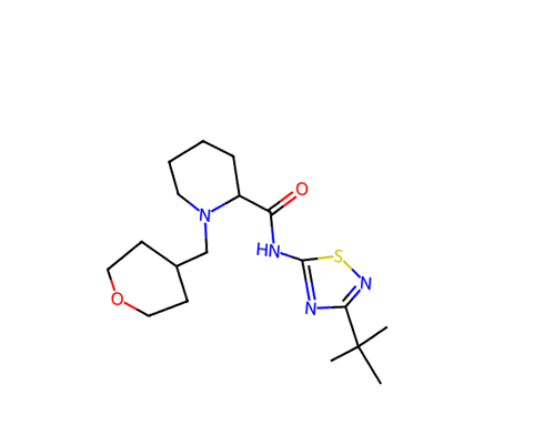 CC(C)(C)c1nsc(NC(=O)C2CCCCN2CC2CCOCC2)n1